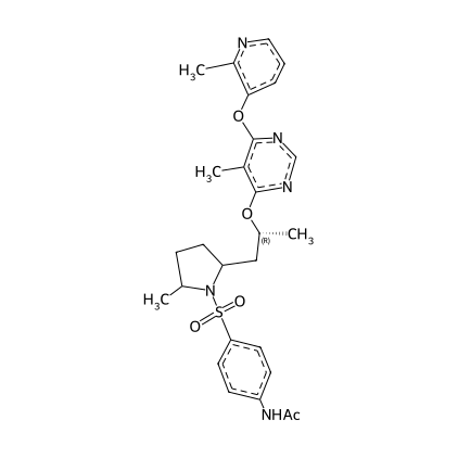 CC(=O)Nc1ccc(S(=O)(=O)N2C(C)CCC2C[C@@H](C)Oc2ncnc(Oc3cccnc3C)c2C)cc1